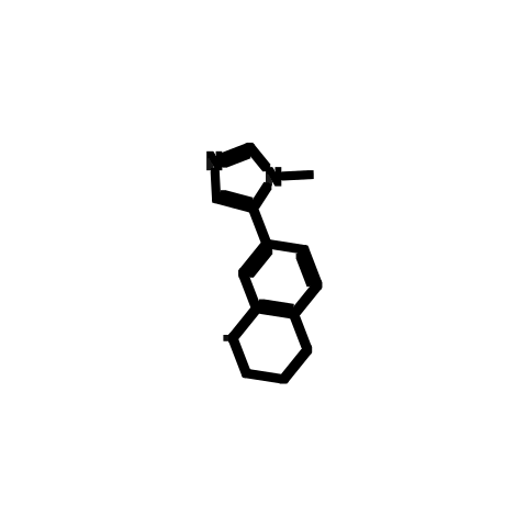 Cn1cncc1-c1ccc2c(c1)[CH]CCC2